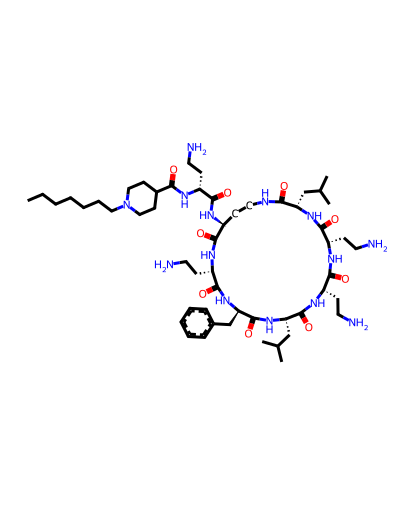 CCCCCCCN1CCC(C(=O)N[C@H](CCN)C(=O)N[C@H]2CCNC(=O)[C@H](CC(C)C)NC(=O)[C@H](CCN)NC(=O)[C@H](CCN)NC(=O)[C@H](CC(C)C)NC(=O)[C@@H](Cc3ccccc3)NC(=O)[C@H](CCN)NC2=O)CC1